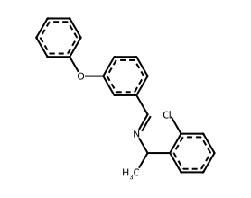 CC(N=Cc1cccc(Oc2ccccc2)c1)c1ccccc1Cl